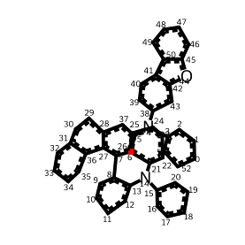 c1ccc(N(c2cc(-c3ccccc3N(c3ccccc3)c3ccccc3)c3c(ccc4ccccc43)c2)c2ccc3c(c2)oc2ccccc23)cc1